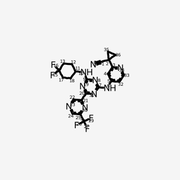 N#CC1(c2cc(Nc3nc(NC4CCC(F)(F)CC4)nc(-c4cncc(C(F)(F)F)n4)n3)ccn2)CC1